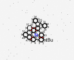 CC(C)(C)c1ccc(-c2ccccc2N(c2ccccc2-c2ccc3c(c2)C(C)(c2ccccc2)c2ccccc2-3)c2ccccc2-c2cccc3cccc(C4CCCCC4)c23)cc1